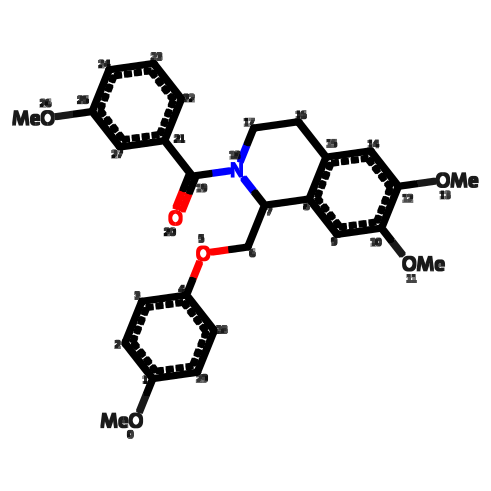 COc1ccc(OCC2c3cc(OC)c(OC)cc3CCN2C(=O)c2cccc(OC)c2)cc1